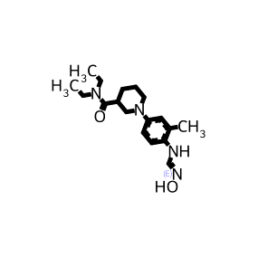 CCN(CC)C(=O)C1CCCN(c2ccc(N/C=N/O)c(C)c2)C1